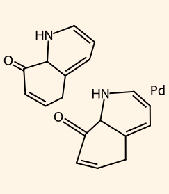 O=C1C=CCC2=CC=CNC12.O=C1C=CCC2=CC=CNC12.[Pd]